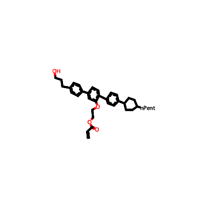 C=CC(=O)OCCOc1cc(-c2ccc(CCCO)cc2)ccc1-c1ccc(C2CCC(CCCCC)CC2)cc1